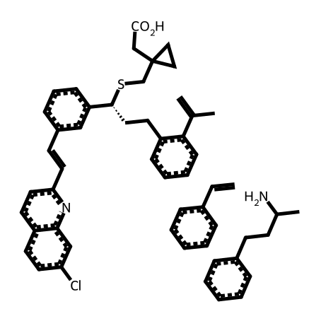 C=C(C)c1ccccc1CC[C@@H](SCC1(CC(=O)O)CC1)c1cccc(/C=C/c2ccc3ccc(Cl)cc3n2)c1.C=Cc1ccccc1.CC(N)CCc1ccccc1